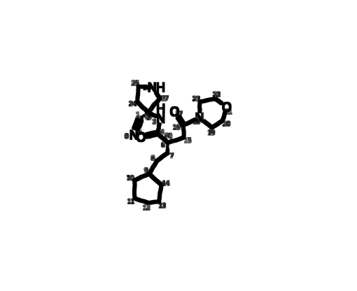 N#C[C@]1(NC(=O)[C@H](CCC2CCCCC2)CC(=O)N2CCOCC2)CCNC1